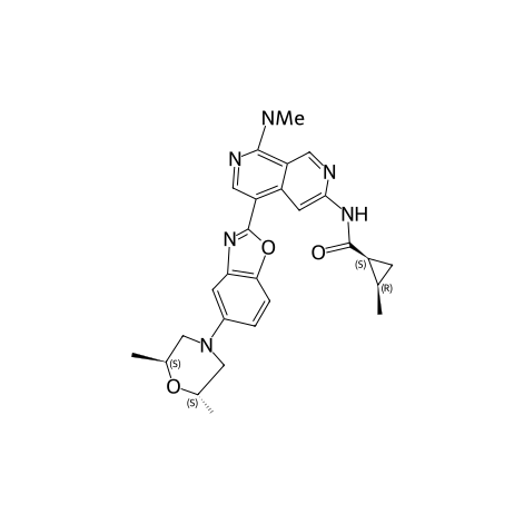 CNc1ncc(-c2nc3cc(N4C[C@H](C)O[C@@H](C)C4)ccc3o2)c2cc(NC(=O)[C@H]3C[C@H]3C)ncc12